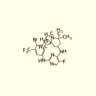 CN1C(C)(C)CC(Nc2nc(Nc3cc(C(F)(F)F)c(Br)c(C(F)(F)F)c3)ncc2F)CC1(C)C